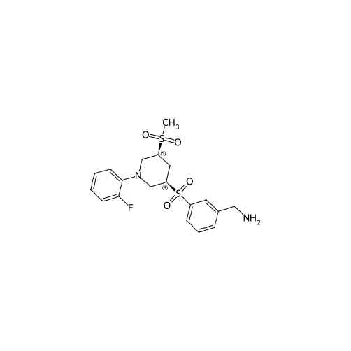 CS(=O)(=O)[C@H]1C[C@@H](S(=O)(=O)c2cccc(CN)c2)CN(c2ccccc2F)C1